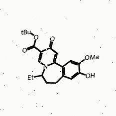 CCC1CCc2cc(O)c(OC)cc2-c2cc(=O)c(C(=O)OC(C)(C)C)cn21